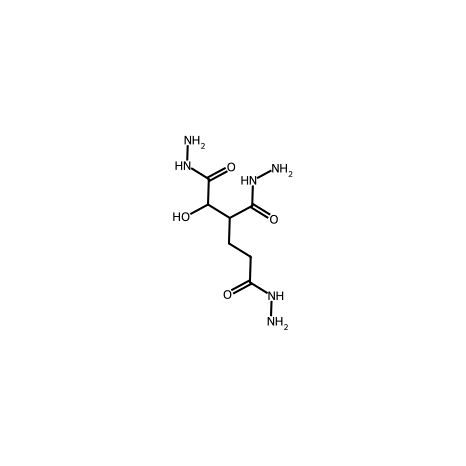 NNC(=O)CCC(C(=O)NN)C(O)C(=O)NN